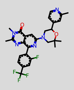 Cc1cc(C2CN(c3cc4c(=O)n(C)c(C)nc4c(-c4ccc(C(F)(F)F)cc4F)n3)CC(C)(C)O2)ccn1